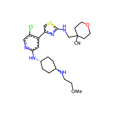 COCCN[C@H]1CC[C@H](Nc2cc(-c3csc(NCC4(C#N)CCOCC4)n3)c(Cl)cn2)CC1